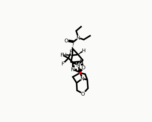 CCN(CC)C(=O)[C@@H]1[C@@H]2CN(C3CC4COCC(C3)N4c3nc(C(F)(F)F)no3)C[C@@H]21